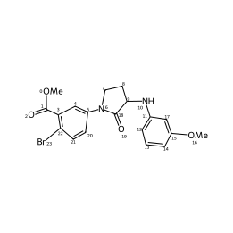 COC(=O)c1cc(N2CCC(Nc3cccc(OC)c3)C2=O)ccc1Br